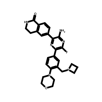 Nc1nc(F)c(-c2ccc(N3CCOCC3)c(CN3CCC3)c2)nc1-c1ccc2c(c1)CCNC2=O